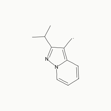 [CH2]c1c(C(C)C)nn2ccccc12